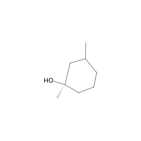 CC1CCC[C@@](C)(O)C1